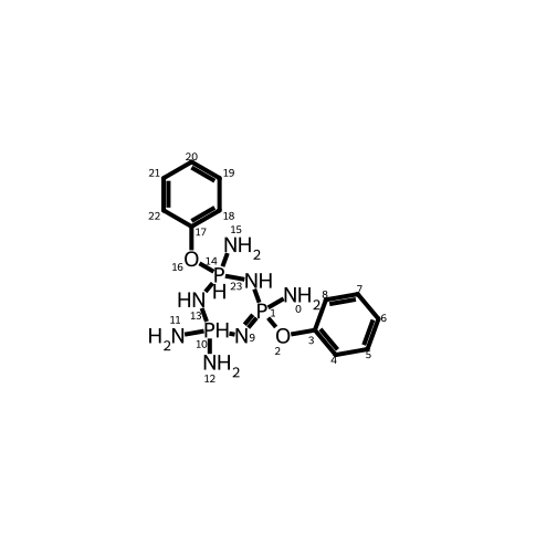 NP1(Oc2ccccc2)=N[PH](N)(N)N[PH](N)(Oc2ccccc2)N1